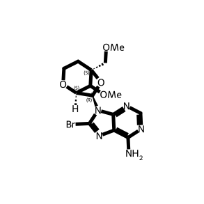 COC[C@@]12CCO[C@@H](C1OC)[C@H](n1c(Br)nc3c(N)ncnc31)O2